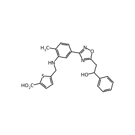 Cc1ccc(-c2noc(CC(O)c3ccccc3)n2)cc1NCc1ccc(C(=O)O)s1